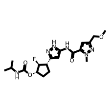 COCc1cc(C(=O)Nc2cc([C@@H]3CC[C@H](OC(=O)NC(C)C)[C@H]3F)n[nH]2)n(C)n1